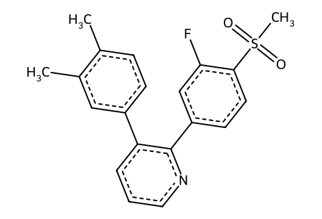 Cc1ccc(-c2cccnc2-c2ccc(S(C)(=O)=O)c(F)c2)cc1C